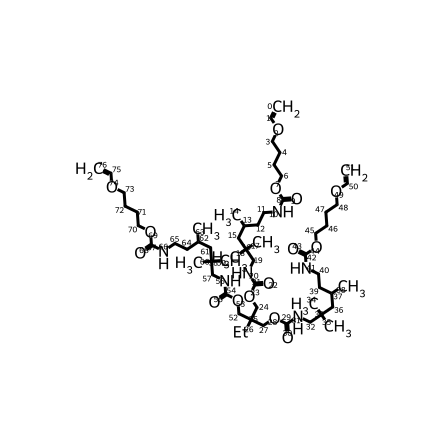 C=COCCCCOC(=O)NCCC(C)CC(C)(C)CNC(=O)OCC(CC)(COC(=O)NCC(C)(C)CC(C)CCNC(=O)OCCCCOC=C)COC(=O)NCC(C)(C)CC(C)CCNC(=O)OCCCCOC=C